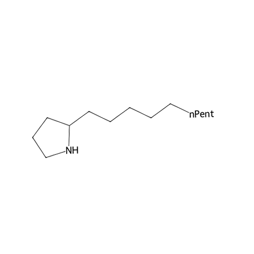 CCCCCCCCCCC1CCCN1